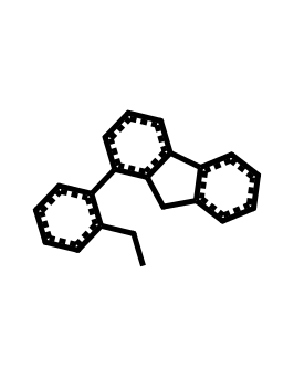 CCc1ccccc1-c1cccc2c1Cc1ccccc1-2